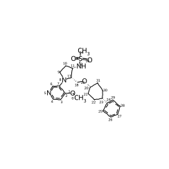 COc1ccncc1N1CC[C@H](NS(C)(=O)=O)[C@@H]1CO[C@H]1CC[C@@H](c2ccccc2)CC1